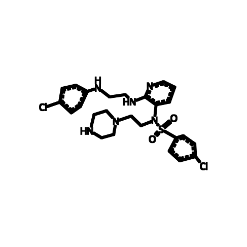 O=S(=O)(c1ccc(Cl)cc1)N(CCN1CCNCC1)c1cccnc1NCCNc1ccc(Cl)cc1